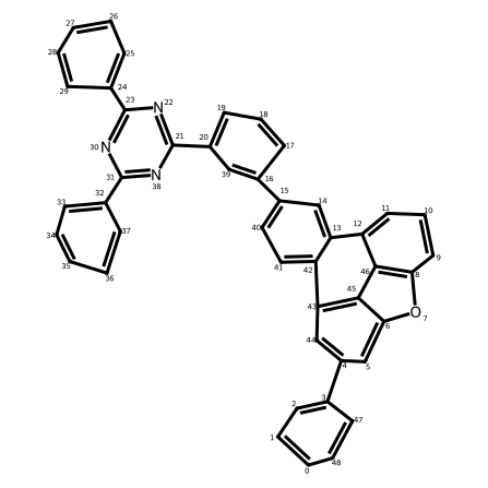 c1ccc(-c2cc3oc4cccc5c6cc(-c7cccc(-c8nc(-c9ccccc9)nc(-c9ccccc9)n8)c7)ccc6c(c2)c3c45)cc1